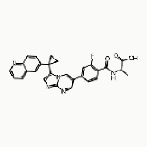 CC(NC(=O)c1ccc(-c2cnc3ncc(C4(c5ccc6ncccc6c5)CC4)n3c2)cc1F)C(=O)O